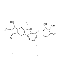 CC1C(=O)C2CC3c4cccc(OC5OCC(O)C(O)C5O)c4NC3CC2C1O